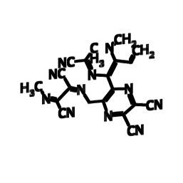 C=C/C(N=C)=C(/N=C(\C)C#N)c1nc(C#N)c(C#N)nc1C/N=C(C#N)\C(C#N)=N/C